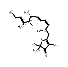 CC1=C(C[C@H](O)/C=C\C=C\[C@@H](C)[C@@H](O)/C(C)=C/CC(C)C)OC(C)(O)C1=O